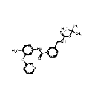 Cc1ccc(NC(=O)c2cccc(CNC(=O)OC(C)(C)C)c2)cc1Oc1cccnc1